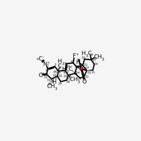 [C-]#[N+]C1=C[C@]2(C)C3=CC(F)[C@]45OC(=O)[C@@]6(CCC(C)(C)C[C@H]64)CC[C@@]5(C)[C@]3(C)CC[C@H]2[C@H](C)C1=O